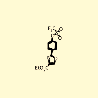 CCOC(=O)c1coc(-c2ccc(OS(=O)(=O)C(F)(F)F)cc2)n1